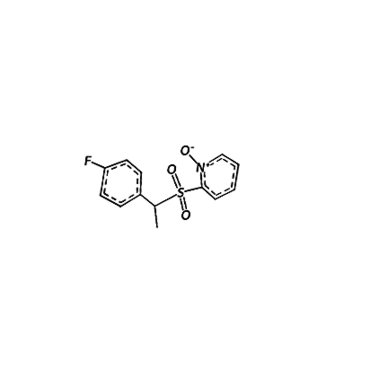 CC(c1ccc(F)cc1)S(=O)(=O)c1cccc[n+]1[O-]